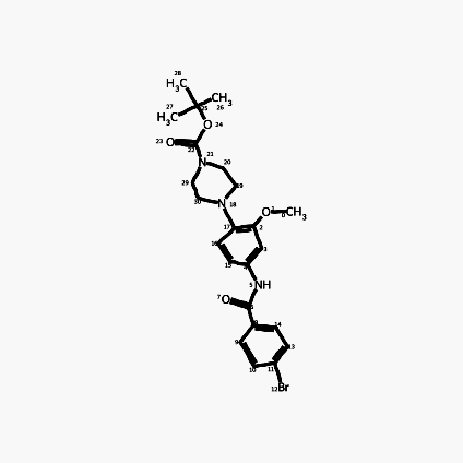 COc1cc(NC(=O)c2ccc(Br)cc2)ccc1N1CCN(C(=O)OC(C)(C)C)CC1